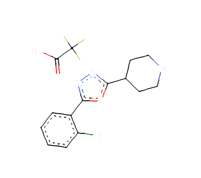 Clc1ccccc1-c1nnc(C2CCNCC2)o1.O=C(O)C(F)(F)F